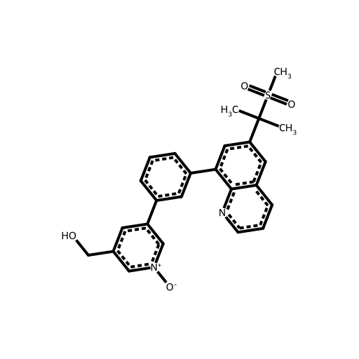 CC(C)(c1cc(-c2cccc(-c3cc(CO)c[n+]([O-])c3)c2)c2ncccc2c1)S(C)(=O)=O